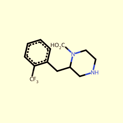 O=C(O)N1CCNCC1Cc1ccccc1C(F)(F)F